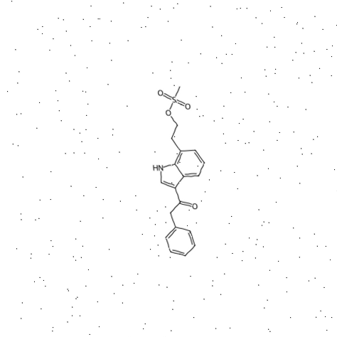 CS(=O)(=O)OCCc1cccc2c(C(=O)Cc3ccccc3)c[nH]c12